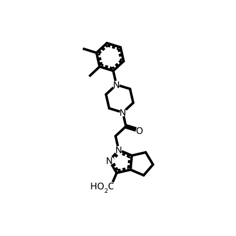 Cc1cccc(N2CCN(C(=O)Cn3nc(C(=O)O)c4c3CCC4)CC2)c1C